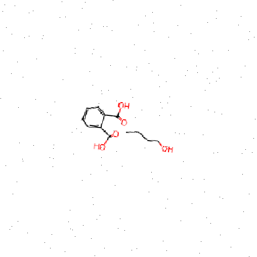 CCCCO.O=C(O)c1ccccc1C(=O)O